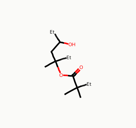 CCC(O)CC(C)(CC)OC(=O)C(C)(C)CC